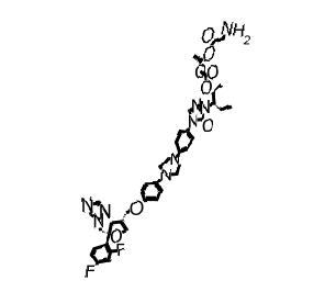 CC[C@@H]([C@H](C)OC(=O)OC(C)OC(=O)CN)n1ncn(-c2ccc(N3CCN(c4ccc(OC[C@@H]5CO[C@@](Cn6cncn6)(c6ccc(F)cc6F)C5)cc4)CC3)cc2)c1=O